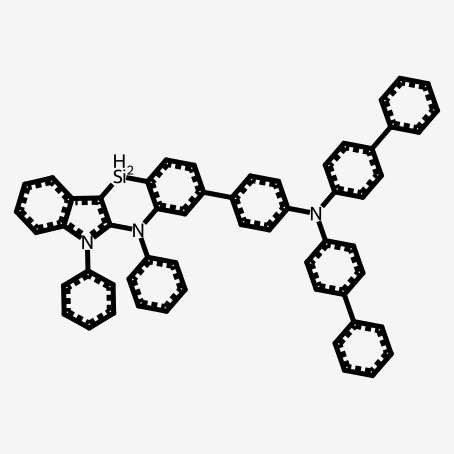 c1ccc(-c2ccc(N(c3ccc(-c4ccccc4)cc3)c3ccc(-c4ccc5c(c4)N(c4ccccc4)c4c(c6ccccc6n4-c4ccccc4)[SiH2]5)cc3)cc2)cc1